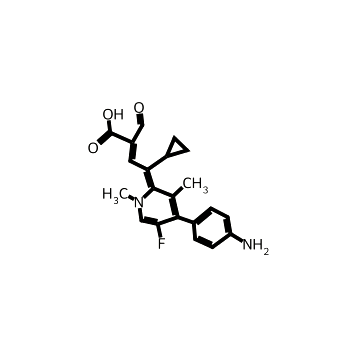 CC1=C(c2ccc(N)cc2)C(F)=CN(C)/C1=C(\C=C(/C=O)C(=O)O)C1CC1